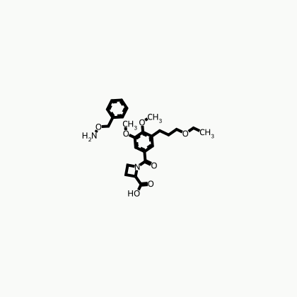 CCOCCCc1cc(C(=O)N2CCC2C(=O)O)cc(OC)c1OC.NOCc1ccccc1